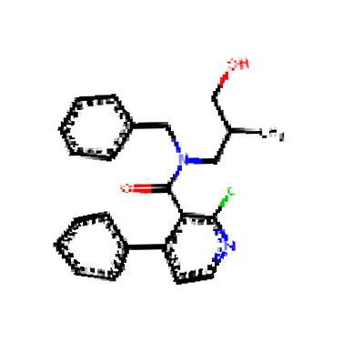 CC(CO)CN(Cc1ccccc1)C(=O)c1c(-c2ccccc2)ccnc1Cl